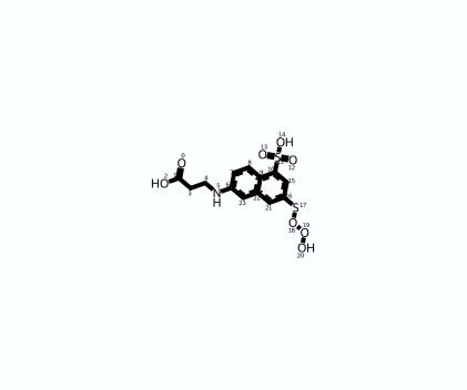 O=C(O)CCNc1ccc2c(S(=O)(=O)O)cc(SOOO)cc2c1